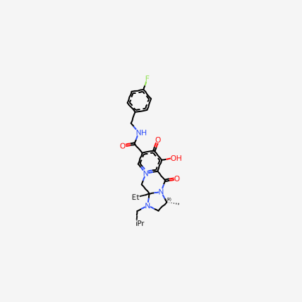 CCC12Cn3cc(C(=O)NCc4ccc(F)cc4)c(=O)c(O)c3C(=O)N1[C@H](C)CN2CC(C)C